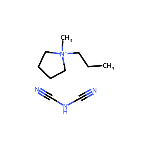 CCC[N+]1(C)CCCC1.N#CNC#N